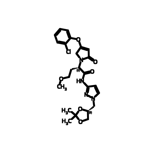 COCC[C@@H](C(=O)Nc1ccn(C[C@@H]2COC(C)(C)O2)n1)N1CC(Oc2ccccc2Cl)=CC1=O